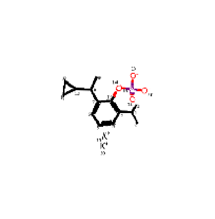 CC(C)c1cccc(C(C)C2CC2)c1OP(=O)([O-])[O-].[K+].[K+]